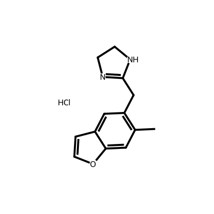 Cc1cc2occc2cc1CC1=NCCN1.Cl